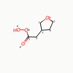 O=C(CC1CCOC1)OO